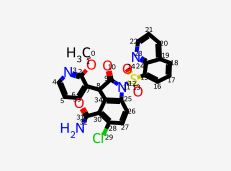 COc1ncccc1[C]1C(=O)N(S(=O)(=O)c2cccc3cccnc23)c2ccc(Cl)c(C(N)=O)c21